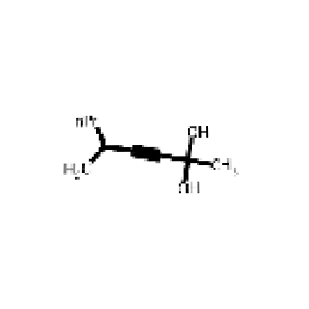 CCCC(C)C#CC(C)(O)O